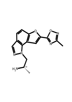 Cc1noc(-c2cc3c(ccc4cnn(C[C@H](C)N)c43)o2)n1